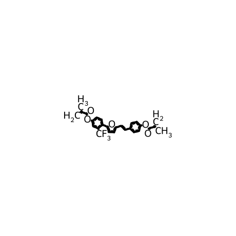 C=C(C)C(=O)Oc1ccc(/C=C/c2ccc(-c3ccc(OC(=O)C(=C)C)cc3C(F)(F)F)o2)cc1